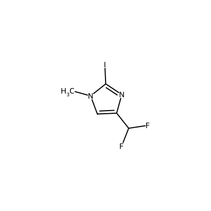 Cn1cc(C(F)F)nc1I